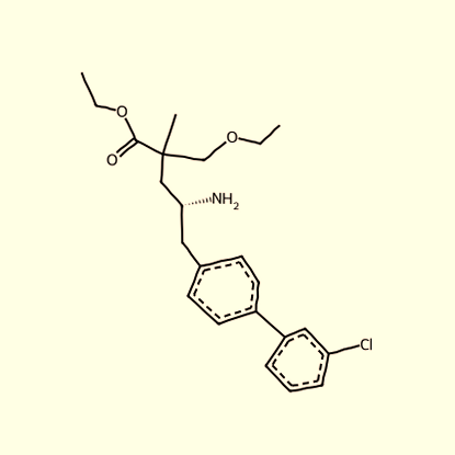 CCOCC(C)(C[C@H](N)Cc1ccc(-c2cccc(Cl)c2)cc1)C(=O)OCC